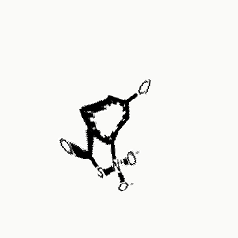 O=C1S[N+]([O-])([O-])c2cc(Cl)ccc21